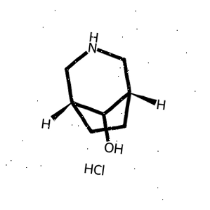 Cl.OC1[C@@H]2CC[C@H]1CNC2